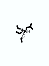 CCO[Si](CC)(NCC(C)C)OCC